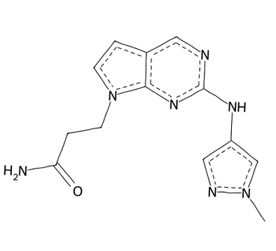 Cn1cc(Nc2ncc3ccn(CCC(N)=O)c3n2)cn1